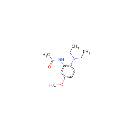 CCN(CC)c1ccc(OC)cc1NC(C)=O